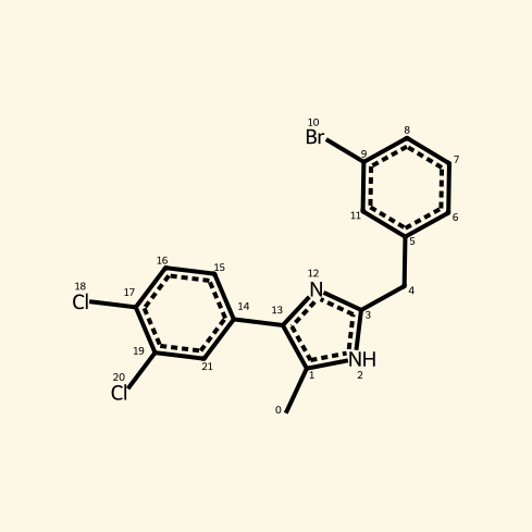 Cc1[nH]c(Cc2cccc(Br)c2)nc1-c1ccc(Cl)c(Cl)c1